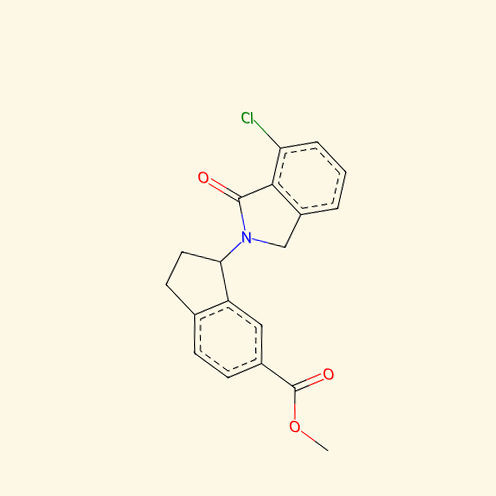 COC(=O)c1ccc2c(c1)C(N1Cc3cccc(Cl)c3C1=O)CC2